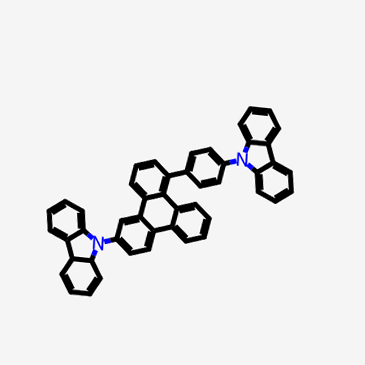 C1=CC2c3ccccc3N(c3ccc4c5ccccc5c5c(-c6ccc(-n7c8ccccc8c8ccccc87)cc6)cccc5c4c3)C2C=C1